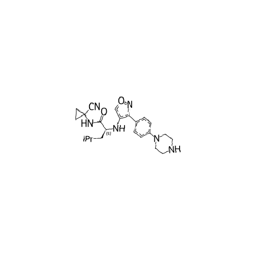 CC(C)C[C@H](Nc1conc1-c1ccc(N2CCNCC2)cc1)C(=O)NC1(C#N)CC1